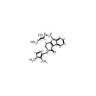 Cc1c(CN2CCc3c(c4ccccc4n3C)C2=O)ncn1C.O=C(O)C=CC(=O)O